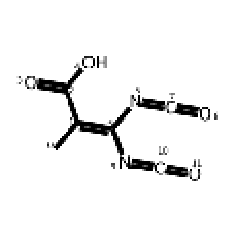 CC(C(=O)O)=C(N=C=O)N=C=O